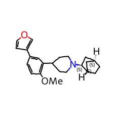 COc1ccc(-c2ccoc2)cc1C1CCN([C@H]2C[C@H]3CC[C@H]2C3)CC1